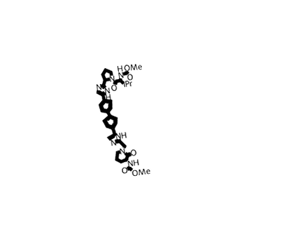 COC(=O)NC1CCCN(Cc2ncc(-c3ccc(-c4ccc(-c5cnc(C6CCCN6C(=O)C(NC(=O)OC)C(C)C)[nH]5)cc4)cc3)[nH]2)C1=O